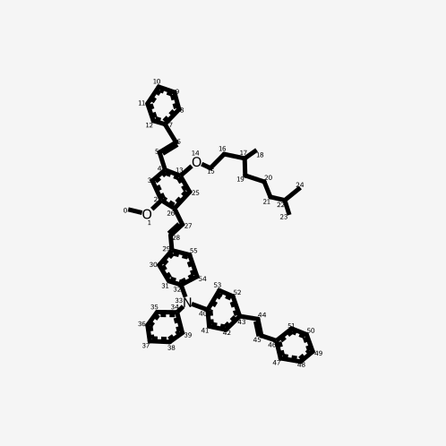 COc1cc(C=Cc2ccccc2)c(OCCC(C)CCCC(C)C)cc1C=Cc1ccc(N(c2ccccc2)c2ccc(C=Cc3ccccc3)cc2)cc1